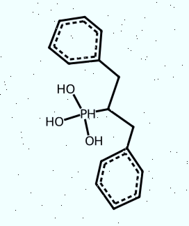 O[PH](O)(O)C(Cc1ccccc1)Cc1ccccc1